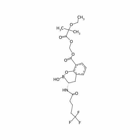 CCOC(C)(C)C(=O)OCOC(=O)c1cccc2c1OB(O)[C@@H](NC(=O)CCCC(F)(F)F)C2